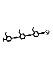 CCc1cc(C#Cc2ccc(C#Cc3ccc(C#C[Si](C)(C)C)cc3CC)cc2CC)ccc1I